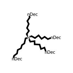 CCCCCCCCCCCCCCCCC[N+](CCCCCCCCCCCCCCCC)(CCCCCCCCCCCCCCCC)CCCCCCCCCCCCCCCC